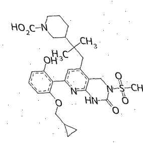 CC(C)(Cc1cc(-c2c(O)cccc2OCC2CC2)nc2c1CN(S(C)(=O)=O)C(=O)N2)C1CCCN(C(=O)O)C1